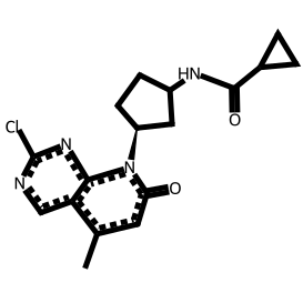 Cc1cc(=O)n([C@H]2CCC(NC(=O)C3CC3)C2)c2nc(Cl)ncc12